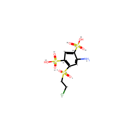 Nc1cc(S(=O)(=O)CCCl)c(S(=O)(=O)O)cc1S(=O)(=O)O